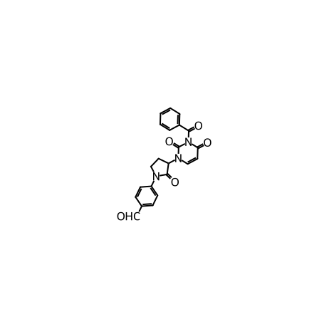 O=Cc1ccc(N2CCC(n3ccc(=O)n(C(=O)c4ccccc4)c3=O)C2=O)cc1